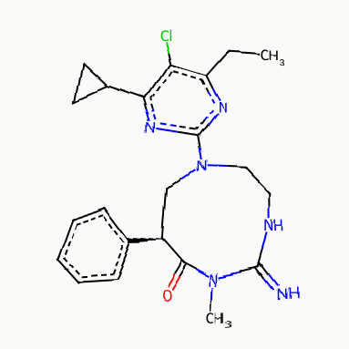 CCc1nc(N2CCNC(=N)N(C)C(=O)[C@@H](c3ccccc3)C2)nc(C2CC2)c1Cl